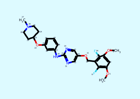 COc1cc(OC)c(F)c(COc2cnc(Nc3cccc(OC4CCN(C)CC4)c3)nc2)c1F